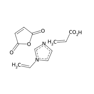 C=CC(=O)O.C=Cn1ccnc1.O=C1C=CC(=O)O1